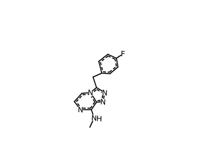 CNc1nccn2c(Cc3ccc(F)cc3)nnc12